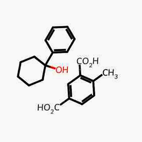 Cc1ccc(C(=O)O)cc1C(=O)O.OC1(c2ccccc2)CCCCC1